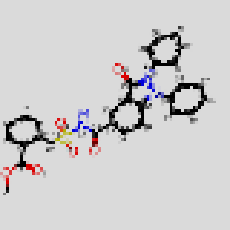 COC(=O)c1ccccc1CS(=O)(=O)NC(=O)c1ccc2c(c1)c(=O)n(-c1ccccc1)n2-c1ccccc1